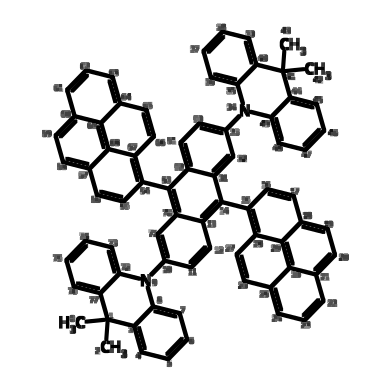 CC1(C)c2ccccc2N(c2ccc3c(-c4ccc5ccc6cccc7ccc4c5c67)c4cc(N5c6ccccc6C(C)(C)c6ccccc65)ccc4c(-c4ccc5ccc6cccc7ccc4c5c67)c3c2)c2ccccc21